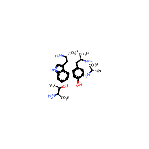 CC(C)[C@H](N)C(=O)O.C[C@@H](O)[C@H](N)C(=O)O.N[C@@H](Cc1c[nH]c2ccccc12)C(=O)O.N[C@@H](Cc1ccc(O)cc1)C(=O)O